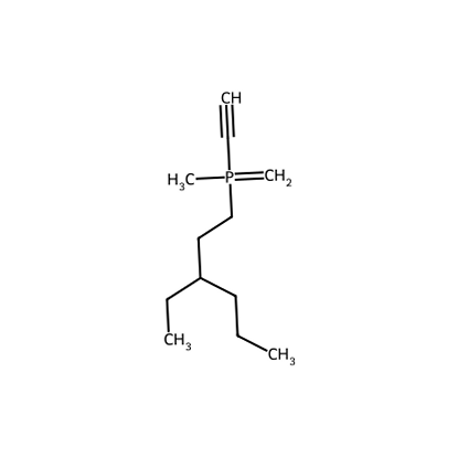 C#CP(=C)(C)CCC(CC)CCC